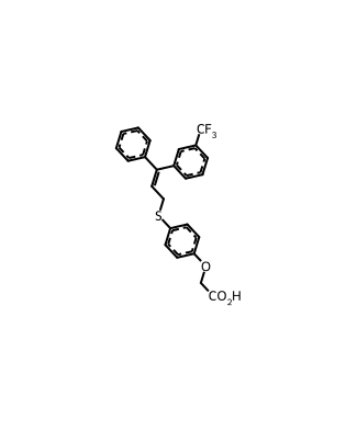 O=C(O)COc1ccc(SCC=C(c2ccccc2)c2cccc(C(F)(F)F)c2)cc1